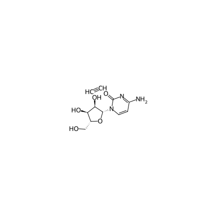 C#C.Nc1ccn([C@@H]2O[C@H](CO)[C@@H](O)[C@H]2O)c(=O)n1